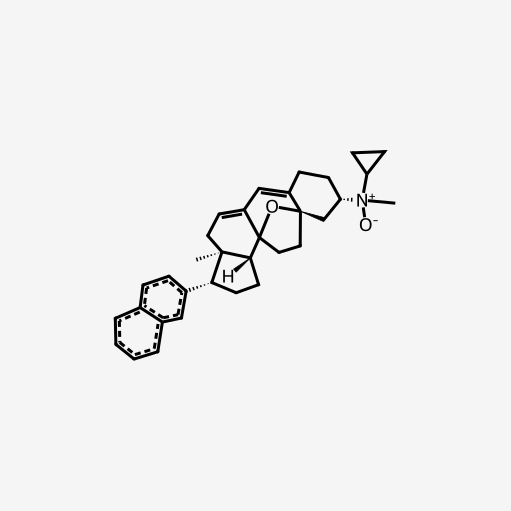 C[C@]12CC=C3C=C4CC[C@H]([N+](C)([O-])C5CC5)C[C@]45CCC3(O5)[C@@H]1CC[C@@H]2c1ccc2ccccc2c1